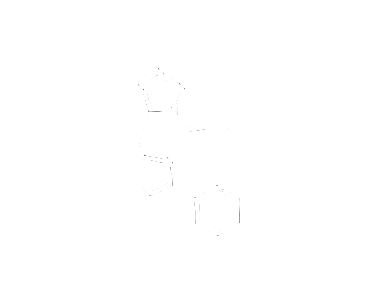 O=C(O)Cn1nnnc1Sc1nc(-c2ccccc2)cs1